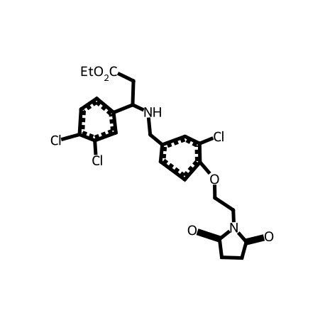 CCOC(=O)CC(NCc1ccc(OCCN2C(=O)CCC2=O)c(Cl)c1)c1ccc(Cl)c(Cl)c1